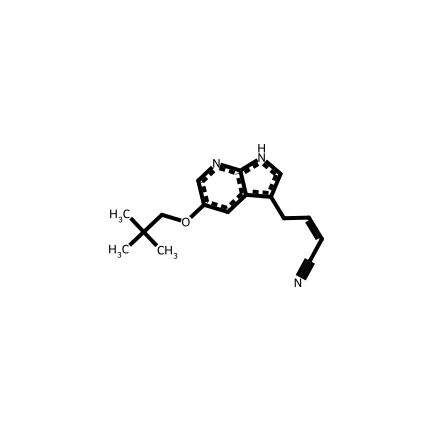 CC(C)(C)COc1cnc2[nH]cc(C/C=C\C#N)c2c1